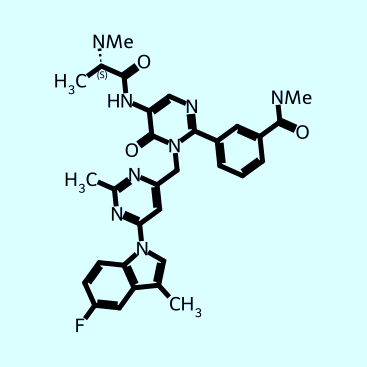 CNC(=O)c1cccc(-c2ncc(NC(=O)[C@H](C)NC)c(=O)n2Cc2cc(-n3cc(C)c4cc(F)ccc43)nc(C)n2)c1